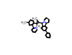 Cc1ccc(C2(C)C(C)C2C2c3ccc(-c4ccccc4)cc3C3C=CC=CN32)c(-c2ccccn2)c1